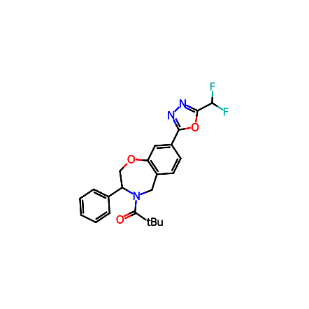 CC(C)(C)C(=O)N1Cc2ccc(-c3nnc(C(F)F)o3)cc2OCC1c1ccccc1